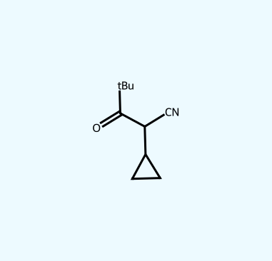 CC(C)(C)C(=O)C(C#N)C1CC1